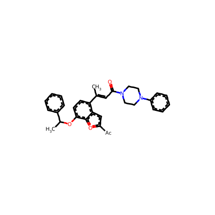 CC(=O)c1cc2c(C(C)=CC(=O)N3CCN(c4ccccc4)CC3)ccc(OC(C)c3ccccc3)c2o1